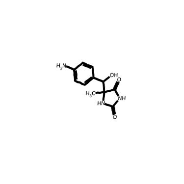 CC1(C(O)c2ccc(N)cc2)NC(=O)NC1=O